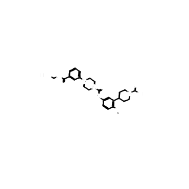 CCOC(=O)c1cccc(N2CCN(C(=O)Nc3ccc(OC)c(C4CCN(C(C)C)CC4)c3)CC2)c1